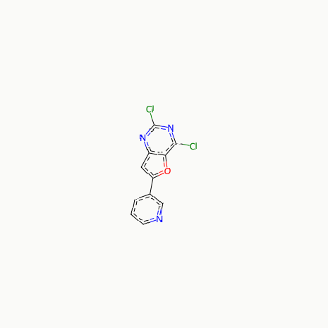 Clc1nc(Cl)c2oc(-c3cccnc3)cc2n1